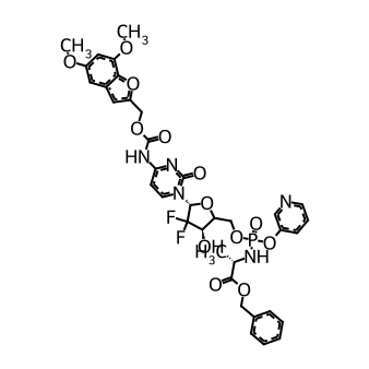 COc1cc(OC)c2oc(COC(=O)Nc3ccn([C@@H]4OC(COP(=O)(N[C@@H](C)C(=O)OCc5ccccc5)Oc5cccnc5)[C@@H](O)C4(F)F)c(=O)n3)cc2c1